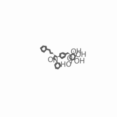 O=C1[C@H](CCCc2ccccc2)[C@@H](c2ccc(C[C@@H]3O[C@H](CO)[C@@H](O)[C@H](O)[C@H]3O)cc2)N1c1ccccc1